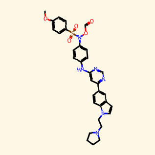 COc1ccc(S(=O)(=O)N(OC=O)c2ccc(Nc3cc(-c4ccc5c(ccn5CCN5CCCC5)c4)ncn3)cc2)cc1